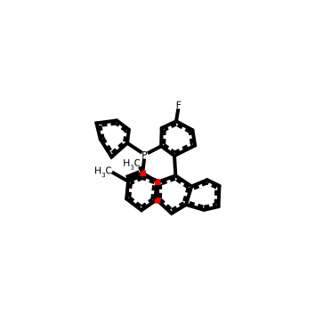 CC=C(C)c1ccc2ccccc2c1-c1ccc(F)cc1P(c1ccccc1)c1ccccc1